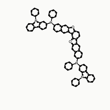 c1ccc(N(c2ccc3cc4c(cc3c2)oc2c4ccc3oc4cc5cc(N(c6ccccc6)c6ccc7c8ccccc8n(-c8ccccc8)c7c6)ccc5cc4c32)c2ccc3c4ccccc4n(-c4ccccc4)c3c2)cc1